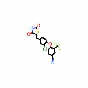 N#Cc1ccc(Oc2ccc(/C=C3\SC(=O)NC3=O)cc2Cl)c(C(F)(F)F)c1